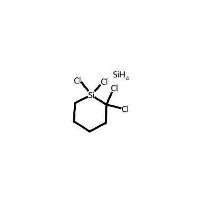 ClC1(Cl)CCCC[Si]1(Cl)Cl.[SiH4]